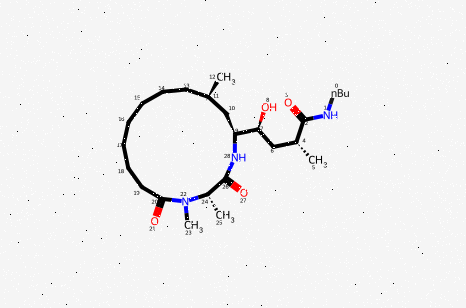 CCCCNC(=O)[C@H](C)C[C@H](O)[C@@H]1C[C@H](C)CCCCCCCC(=O)N(C)[C@@H](C)C(=O)N1